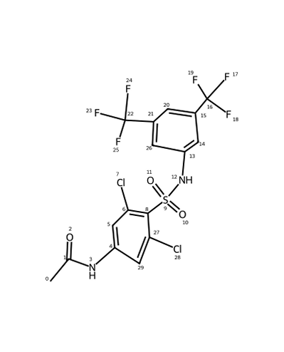 CC(=O)Nc1cc(Cl)c(S(=O)(=O)Nc2cc(C(F)(F)F)cc(C(F)(F)F)c2)c(Cl)c1